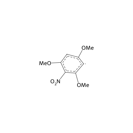 COc1[c]c(OC)c([N+](=O)[O-])c(OC)c1